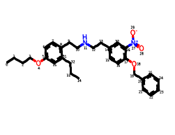 CCCCOc1ccc(CCNCCc2ccc(OCc3ccccc3)c([N+](=O)[O-])c2)c(CCC)c1